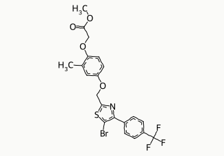 COC(=O)COc1ccc(OCc2nc(-c3ccc(C(F)(F)F)cc3)c(Br)s2)cc1C